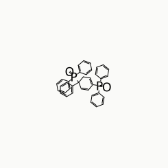 O=P(C1=CCC(c2ccccc2)(P(=O)(c2ccccc2)c2ccccc2)C=C1)(c1ccccc1)c1ccccc1